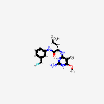 CCOc1nc(N)nc(N[C@@H](CCC(=O)O)C(=O)Nc2cccc(CF)c2)c1C#N